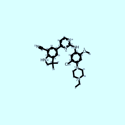 CCN1CCN(c2cc(OC)c(Nc3nccc(-c4cc(C#N)c5c(c4)C(C)(C)CN5)n3)cc2Cl)CC1